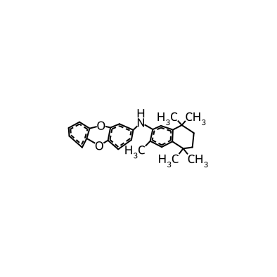 Cc1cc2c(cc1Nc1ccc3c(c1)Oc1ccccc1O3)C(C)(C)CCC2(C)C